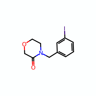 O=C1COCCN1Cc1cccc(I)c1